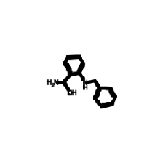 NC(O)c1ccccc1NCc1ccccc1